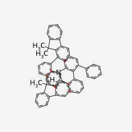 CC1(C)c2ccccc2-c2cccc(-c3ccccc3N(c3cccc(-c4ccccc4)c3-c3ccccc3-c3ccccc3)c3cccc4c3C(C)(C)c3ccccc3-4)c21